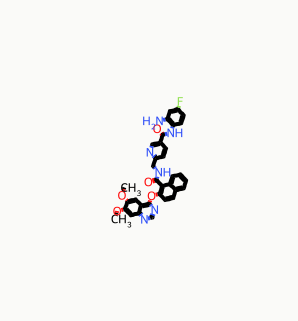 COc1cc2ncnc(Oc3ccc4ccccc4c3C(=O)NCc3ccc(C(=O)Nc4ccc(F)cc4N)cn3)c2cc1OC